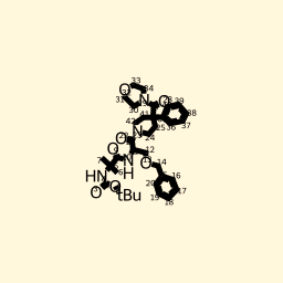 CC(C)(C)OC(=O)NC(C)(C)C(=O)NC(COCc1ccccc1)C(=O)N1CCC(C(=O)N2CCOCC2)(c2ccccc2)CC1